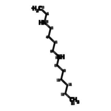 [CH2]CNCCCCNCCCCCC